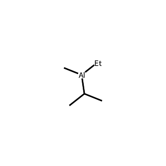 C[CH2][Al]([CH3])[CH](C)C